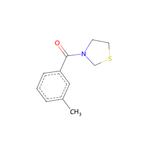 Cc1cccc(C(=O)N2CCSC2)c1